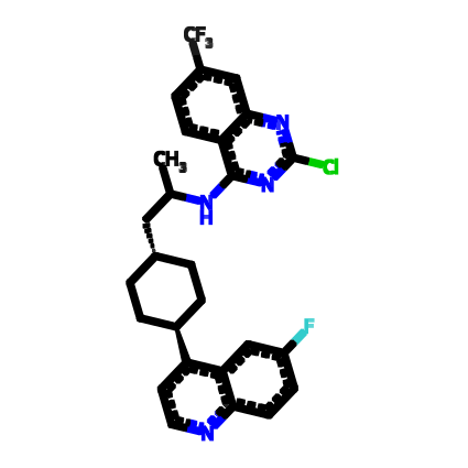 CC(C[C@H]1CC[C@H](c2ccnc3ccc(F)cc32)CC1)Nc1nc(Cl)nc2cc(C(F)(F)F)ccc12